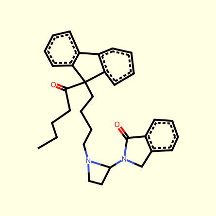 CCCCC(=O)C1(CCCCN2CCC2N2Cc3ccccc3C2=O)c2ccccc2-c2ccccc21